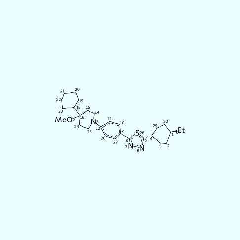 CC[C@H]1CC[C@H](c2nnc(-c3ccc(N4CCC(OC)(C5CCCCC5)CC4)cc3)s2)CC1